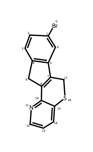 Brc1ccc2c(c1)C1=C(C2)c2ncccc2SC1